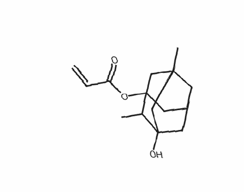 C=CC(=O)OC12CC3CC(C)(CC(O)(C3)C1C)C2